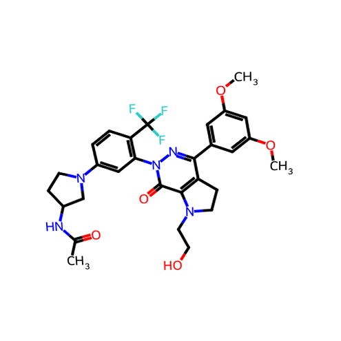 COc1cc(OC)cc(-c2nn(-c3cc(N4CCC(NC(C)=O)C4)ccc3C(F)(F)F)c(=O)c3c2CCN3CCO)c1